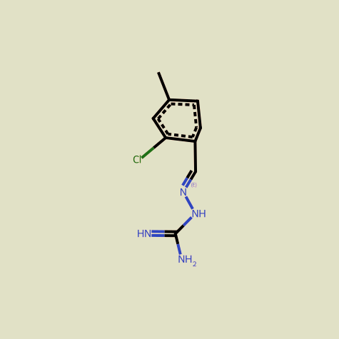 Cc1ccc(/C=N/NC(=N)N)c(Cl)c1